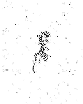 COc1ccc2c(OS(=O)(=O)Oc3cc(C(=O)N(C)CCOCCOCCOCCN=[N+]=[N-])ccc3O[C@@H]3O[C@H](COC(C)=O)[C@H](CC(C)=O)[C@H](OC(C)=O)C3OC(C)=O)cc3c(c2c1)[C@H](CCl)CN3C(=O)c1cc2cc(C(C)=O)c(OC3O[C@H](COC(C)=O)[C@H](OC(C)=O)[C@H](OC(C)=O)[C@H]3OC(C)=O)cc2[nH]1